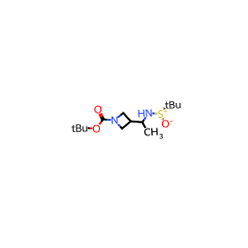 CC(N[S+]([O-])C(C)(C)C)C1CN(C(=O)OC(C)(C)C)C1